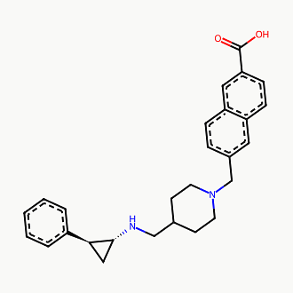 O=C(O)c1ccc2cc(CN3CCC(CN[C@@H]4C[C@H]4c4ccccc4)CC3)ccc2c1